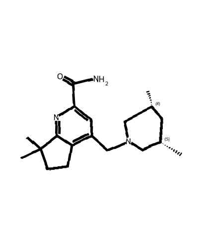 C[C@@H]1C[C@H](C)CN(Cc2cc(C(N)=O)nc3c2CCC3(C)C)C1